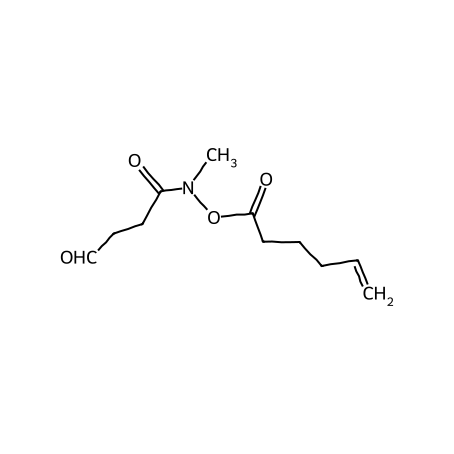 C=CCCCC(=O)ON(C)C(=O)CCC=O